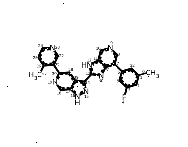 Cc1cc(F)cc(-c2cncc3[nH]c(-c4n[nH]c5cnc(-c6cnccc6C)cc45)nc23)c1